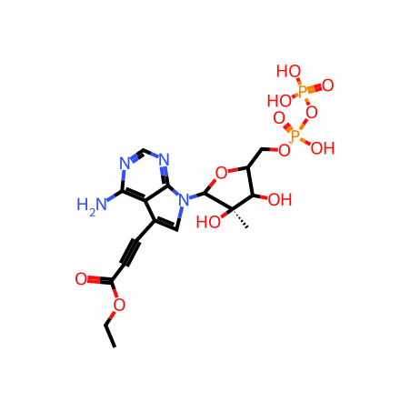 CCOC(=O)C#Cc1cn(C2OC(COP(=O)(O)OP(=O)(O)O)C(O)[C@@]2(C)O)c2ncnc(N)c12